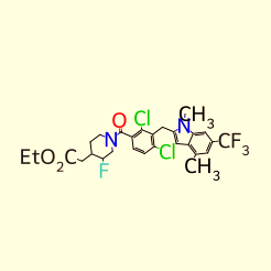 CCOC(=O)CC1CCN(C(=O)c2ccc(Cl)c(Cc3cc4c(C)cc(C(F)(F)F)cc4n3C)c2Cl)CC1F